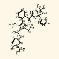 Cc1c(C(=O)Nc2ccc(F)c(C(F)F)c2)c2n(c1-c1ccccc1C(=O)C(=O)NC1(c3nncs3)CC(F)(F)C1)CCC2